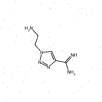 N=C(N)c1cn(CCN)nn1